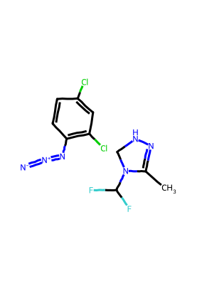 CC1=NNCN1C(F)F.[N-]=[N+]=Nc1ccc(Cl)cc1Cl